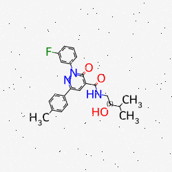 Cc1ccc(-c2cc(C(=O)NC[C@@H](O)C(C)C)c(=O)n(-c3cccc(F)c3)n2)cc1